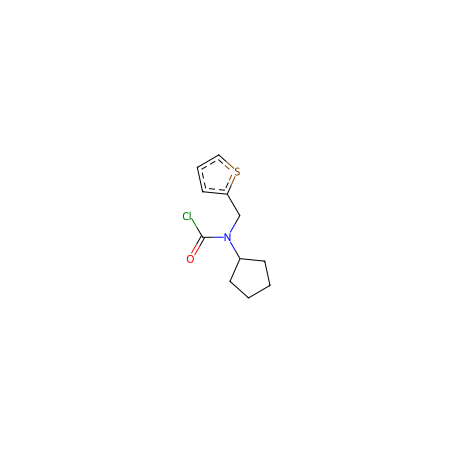 O=C(Cl)N(Cc1cccs1)C1CCCC1